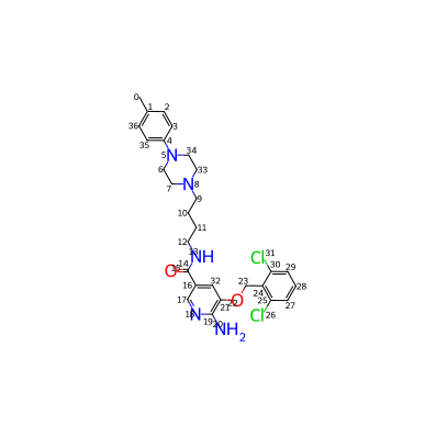 Cc1ccc(N2CCN(CCCCNC(=O)c3cnc(N)c(OCc4c(Cl)cccc4Cl)c3)CC2)cc1